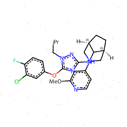 COc1cc(N2C[C@H]3CC[C@@H](C2)C3Nc2nc(Oc3ccc(F)c(Cl)c3)n(CC(C)C)n2)ccn1